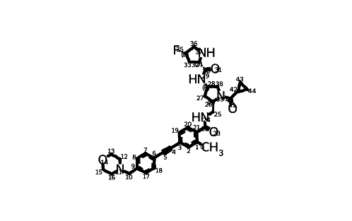 Cc1cc(C#Cc2ccc(CN3CCOCC3)cc2)ccc1C(=O)NC[C@H]1C[C@@H](NC(=O)[C@@H]2C[C@H](F)CN2)CN1C(=O)C1CC1